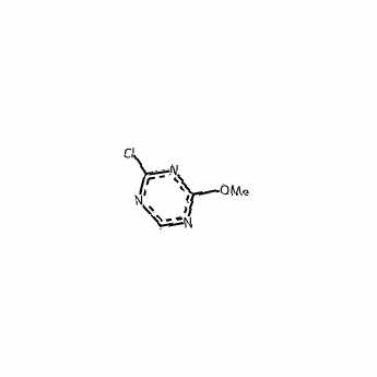 COc1n[c]nc(Cl)n1